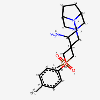 CCS(=O)(=O)CCCN1CC2CCC(C1)N2CC(N)CCOc1ccc(C#N)cc1